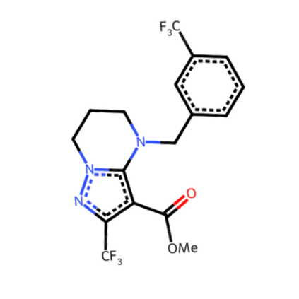 COC(=O)c1c(C(F)(F)F)nn2c1N(Cc1cccc(C(F)(F)F)c1)CCC2